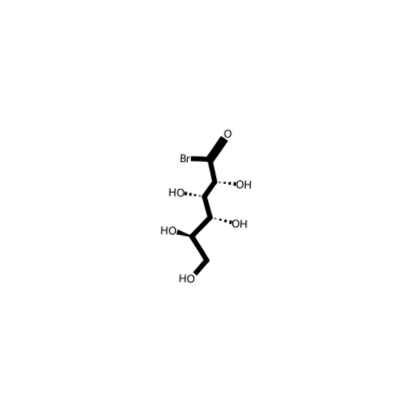 O=C(Br)[C@H](O)[C@@H](O)[C@H](O)[C@H](O)CO